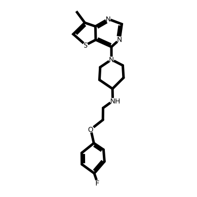 Cc1csc2c(N3CCC(NCCOc4ccc(F)cc4)CC3)ncnc12